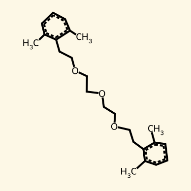 Cc1cccc(C)c1CCOCCOCCOCCc1c(C)cccc1C